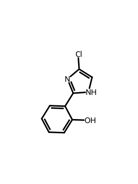 Oc1ccccc1-c1nc(Cl)c[nH]1